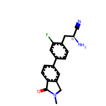 CN1Cc2cc(-c3ccc(C[C@H](N)C#N)c(F)c3)ccc2C1=O